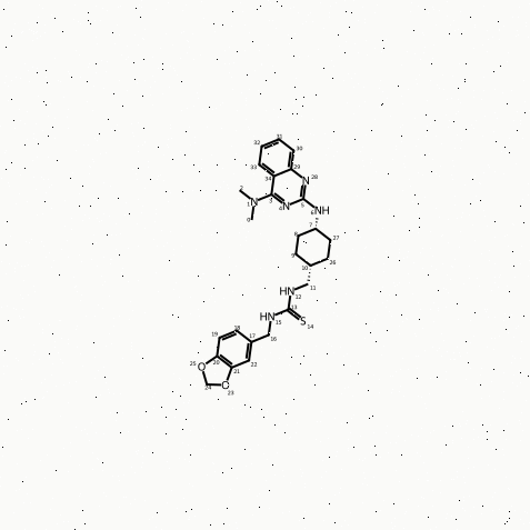 CN(C)c1nc(N[C@H]2CC[C@@H](CNC(=S)NCc3ccc4c(c3)OCO4)CC2)nc2ccccc12